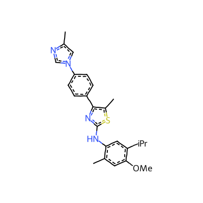 COc1cc(C)c(Nc2nc(-c3ccc(-n4cnc(C)c4)cc3)c(C)s2)cc1C(C)C